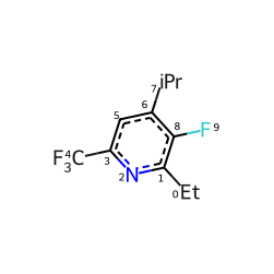 CCc1nc(C(F)(F)F)cc(C(C)C)c1F